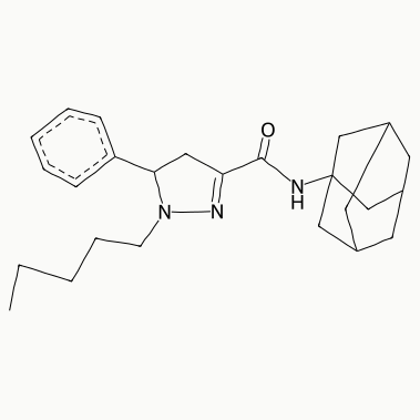 CCCCCN1N=C(C(=O)NC23CC4CC(CC(C4)C2)C3)CC1c1ccccc1